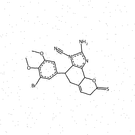 COc1cc(C2CC3=CCC(=S)OC3c3nc(N)n(C#N)c32)cc(Br)c1OC